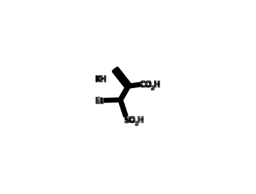 C=C(C(=O)O)C(CC)S(=O)(=O)O.[KH]